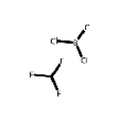 ClB(Cl)Cl.FC(F)F